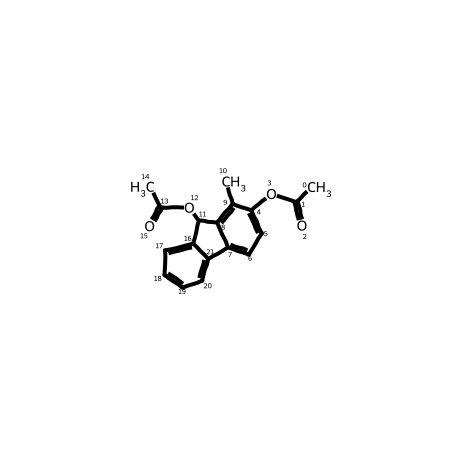 CC(=O)Oc1ccc2c(c1C)C(OC(C)=O)c1ccccc1-2